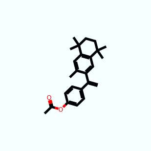 C=C(c1ccc(OC(C)=O)cc1)c1cc2c(cc1C)C(C)(C)CCC2(C)C